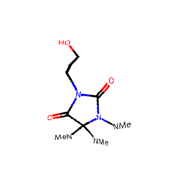 CNN1C(=O)N(CCO)C(=O)C1(NC)NC